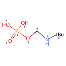 CC(C)(C)NCOP(=O)(O)O